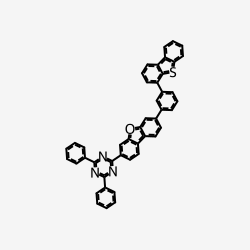 c1ccc(-c2nc(-c3ccccc3)nc(-c3ccc4c(c3)oc3cc(-c5cccc(-c6cccc7c6sc6ccccc67)c5)ccc34)n2)cc1